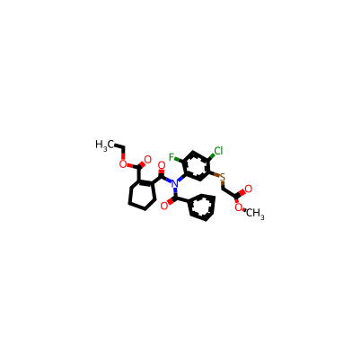 CCOC(=O)C1=C(C(=O)N(C(=O)c2ccccc2)c2cc(SCC(=O)OC)c(Cl)cc2F)CCCC1